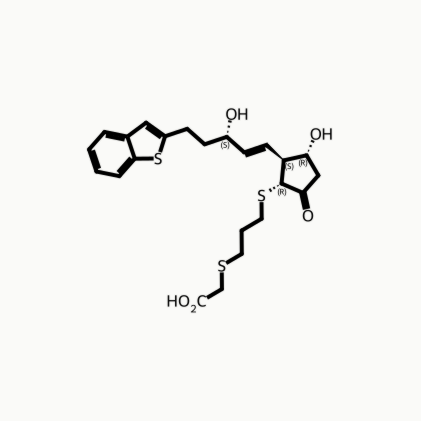 O=C(O)CSCCCS[C@H]1C(=O)C[C@@H](O)[C@@H]1C=C[C@@H](O)CCc1cc2ccccc2s1